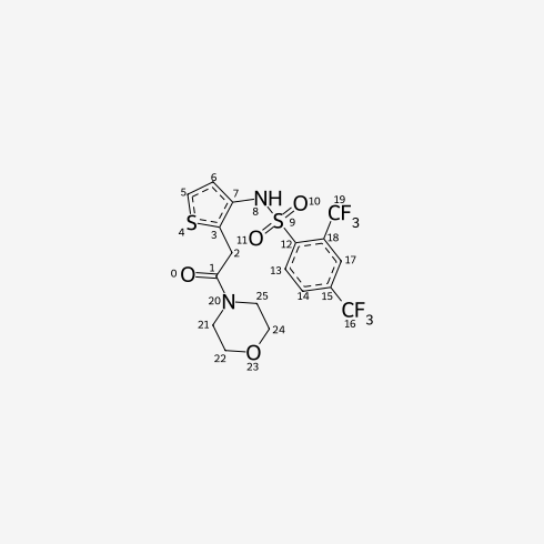 O=C(Cc1sccc1NS(=O)(=O)c1ccc(C(F)(F)F)cc1C(F)(F)F)N1CCOCC1